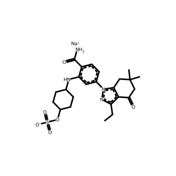 CCc1nn(-c2ccc(C(N)=O)c(NC3CCC(OS(=O)(=O)[O-])CC3)c2)c2c1C(=O)CC(C)(C)C2.[Na+]